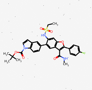 CCS(=O)(=O)Nc1cc2oc(-c3ccc(F)cc3)c(C(=O)NC)c2cc1-c1ccc2c(ccn2C(=O)OC(C)(C)C)c1